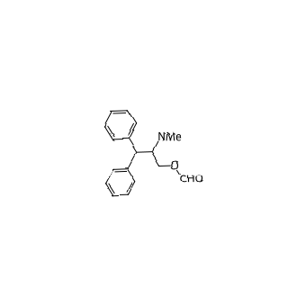 CNC(COC=O)C(c1ccccc1)c1ccccc1